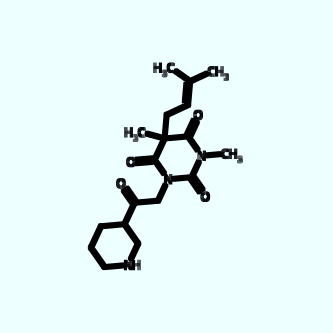 CC(C)=CCC1(C)C(=O)N(C)C(=O)N(CC(=O)C2CCCNC2)C1=O